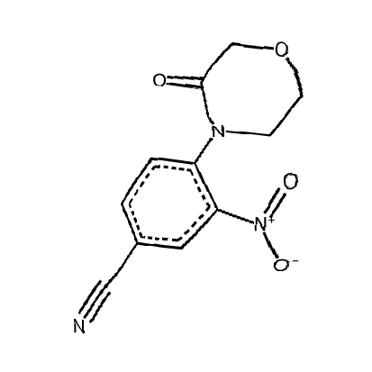 N#Cc1ccc(N2CCOCC2=O)c([N+](=O)[O-])c1